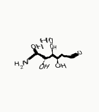 Cl.NC(O)[C@@H](O)[C@@H](O)[C@H](O)CC=O